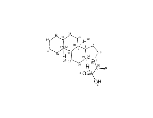 C[C@@H](C(=O)O)[C@H]1CCC2[C@@H]3CCC4CCCC[C@@H]4C3CC[C@@H]21